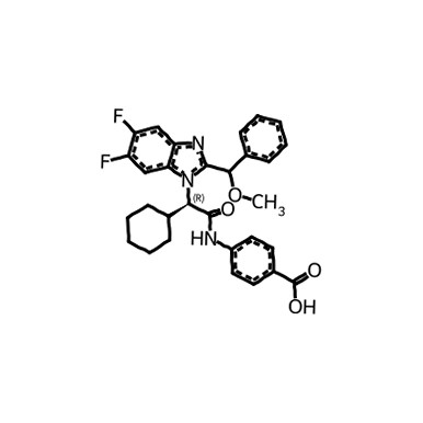 COC(c1ccccc1)c1nc2cc(F)c(F)cc2n1[C@@H](C(=O)Nc1ccc(C(=O)O)cc1)C1CCCCC1